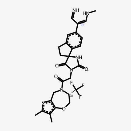 CN/C=C(\C=N)c1ccc2c(c1)CCC21NC(=O)N(CC(=O)N2Cc3sc(C)c(C)c3OC[C@H]2C(F)(F)F)C1=O